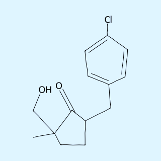 CC1(CO)CCC(Cc2ccc(Cl)cc2)C1=O